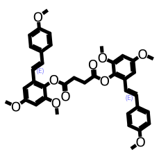 COc1ccc(/C=C/c2cc(OC)cc(OC)c2OC(=O)CCC(=O)Oc2c(/C=C/c3ccc(OC)cc3)cc(OC)cc2OC)cc1